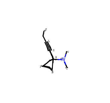 CC#CC1(N(C)C)CC1